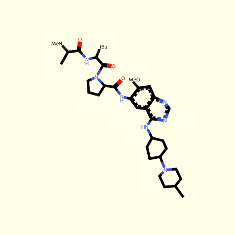 CNC(C)C(=O)NC(C(=O)N1CCCC1C(=O)Nc1cc2c(NC3CCC(N4CCC(C)CC4)CC3)ncnc2cc1OC)C(C)(C)C